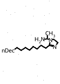 CCCCCCCCCCCCCCCCCCC1=NCCN1C(C)N